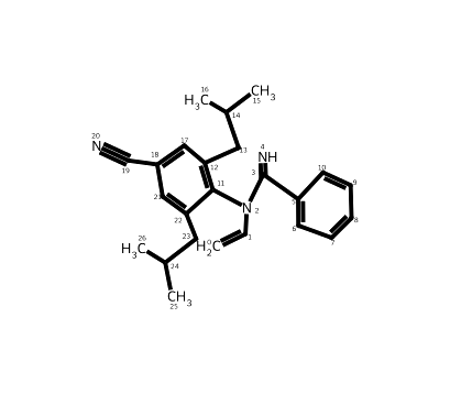 C=CN(C(=N)c1ccccc1)c1c(CC(C)C)cc(C#N)cc1CC(C)C